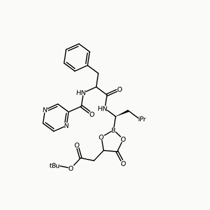 CC(C)C[C@H](NC(=O)C(Cc1ccccc1)NC(=O)c1cnccn1)B1OC(=O)C(CC(=O)OC(C)(C)C)O1